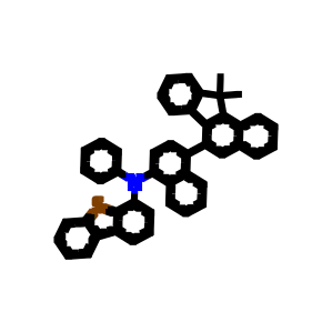 CC1(C)c2ccccc2-c2c(-c3ccc(N(c4ccccc4)c4cccc5c4sc4ccccc45)c4ccccc34)cc3ccccc3c21